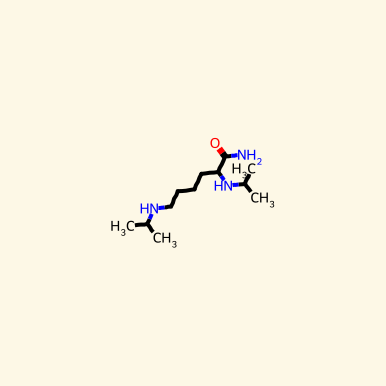 CC(C)NCCCCC(NC(C)C)C(N)=O